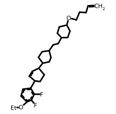 C=CCCCOC1CCC(CCC2CCC(C3C=CC(c4ccc(OCC)c(F)c4F)CC3)CC2)CC1